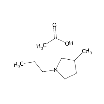 CC(=O)O.CCCN1CCC(C)C1